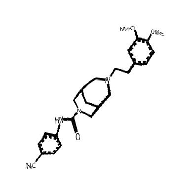 COc1ccc(CCN2CC3CC(C2)CN(C(=O)Nc2ccc(C#N)cc2)C3)cc1OC